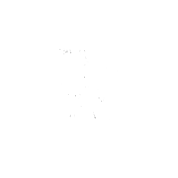 CC(C)(CC(=O)N[C@@H](Cc1ccccc1)C(=O)OCc1ccccc1)CC(=O)OC(C)(C)C